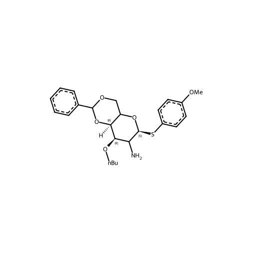 CCCCO[C@@H]1C(N)[C@H](Sc2ccc(OC)cc2)OC2COC(c3ccccc3)O[C@@H]21